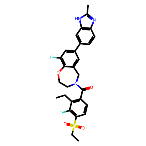 CCc1c(C(=O)N2CCOc3c(F)cc(-c4ccc5nc(C)[nH]c5c4)cc3C2)ccc(S(=O)(=O)CC)c1F